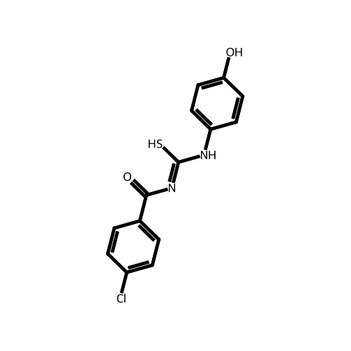 O=C(/N=C(\S)Nc1ccc(O)cc1)c1ccc(Cl)cc1